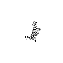 CCON=C(C(=O)NC1C(=O)N2C(C(=O)O)=C(COC(=O)CC(C)=O)CS[C@@H]12)c1nsc(N)n1